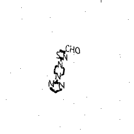 O=Cc1csc(N2CCN(c3ncccn3)CC2)n1